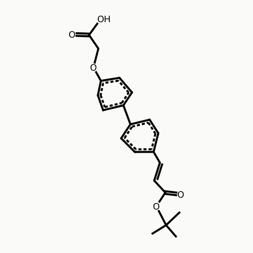 CC(C)(C)OC(=O)C=Cc1ccc(-c2ccc(OCC(=O)O)cc2)cc1